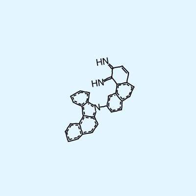 N=C1C=Cc2ccc3ccc(-n4c5ccccc5c5c6ccccc6ccc54)cc3c2C1=N